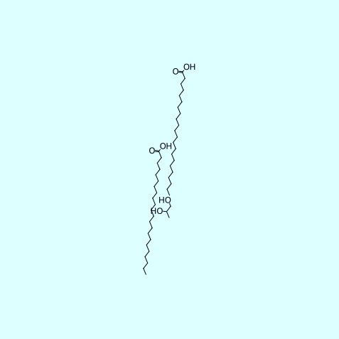 CC(O)CO.CCCCCCCCCCCCCCCCCCCCCC(=O)O.CCCCCCCCCCCCCCCCCCCCCC(=O)O